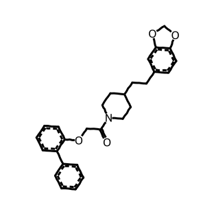 O=C(COc1ccccc1-c1ccccc1)N1CCC(CCc2ccc3c(c2)OCO3)CC1